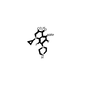 CNc1c(F)c(N2CCNCC2)c(F)c2c1c(=O)c(C(=O)O)cn2C1CC1